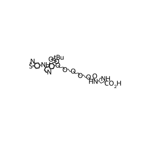 CC(C)(C)S(=O)(=O)c1cc2c(Nc3ccc4scnc4c3)ccnc2cc1OCCOCCOCCOCCOCC(=O)NC1CNC(C(=O)O)C1